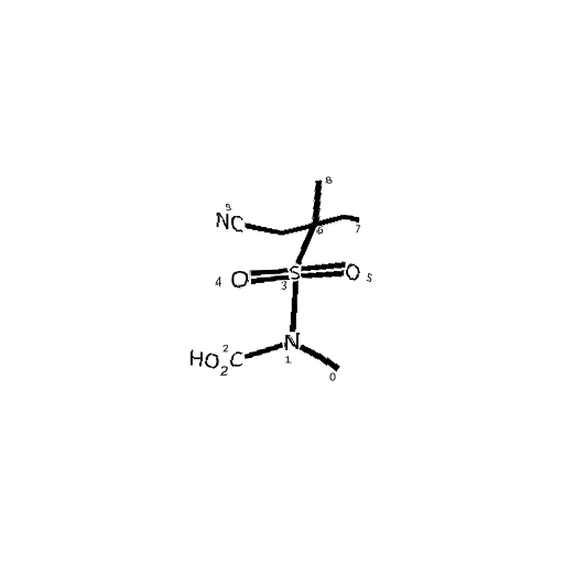 CN(C(=O)O)S(=O)(=O)C(C)(C)C#N